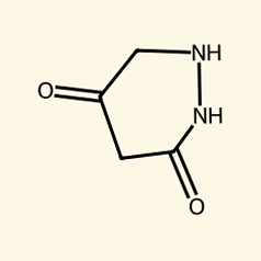 O=C1CNNC(=O)C1